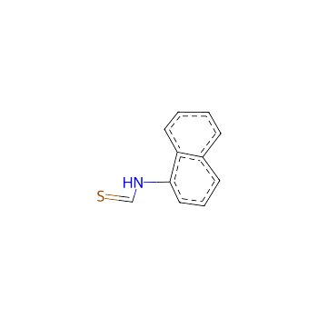 S=CNc1cccc2ccccc12